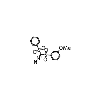 COc1cccc(S(=O)(=O)C(=[N+]=[N-])S(=O)(=O)c2ccccc2)c1